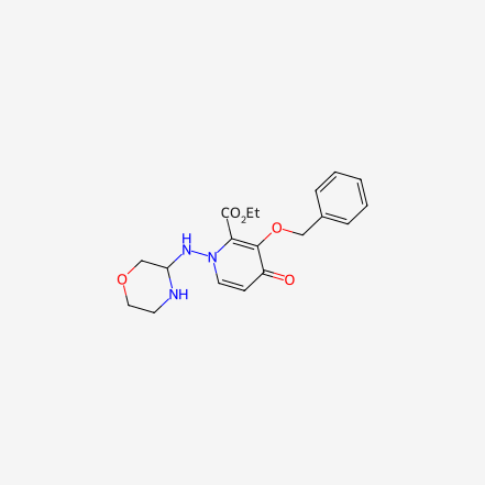 CCOC(=O)c1c(OCc2ccccc2)c(=O)ccn1NC1COCCN1